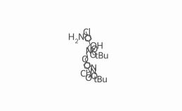 CC(C)(C)OC(=O)N(CCOc1ccc2c(c1)N=NC2(Cl)C(=O)OC(C)(C)C)CC(O)c1ccc(Cl)c(N)c1